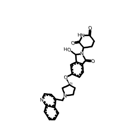 O=C1CCC(N2C(=O)c3ccc(O[C@H]4CCN(Cc5ccnc6ccccc56)C4)cc3C2O)C(=O)N1